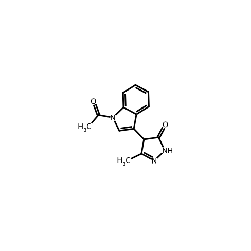 CC(=O)n1cc(C2C(=O)NN=C2C)c2ccccc21